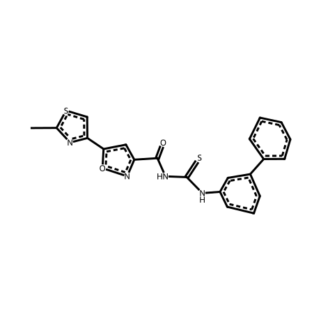 Cc1nc(-c2cc(C(=O)NC(=S)Nc3cccc(-c4ccccc4)c3)no2)cs1